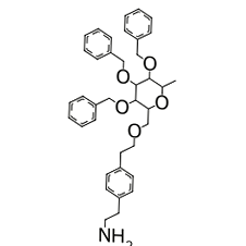 CC1OC(COCCc2ccc(CCN)cc2)C(OCc2ccccc2)C(OCc2ccccc2)C1OCc1ccccc1